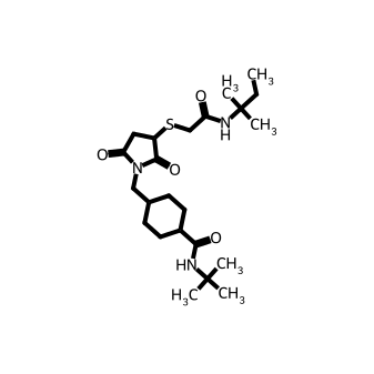 CCC(C)(C)NC(=O)CSC1CC(=O)N(CC2CCC(C(=O)NC(C)(C)C)CC2)C1=O